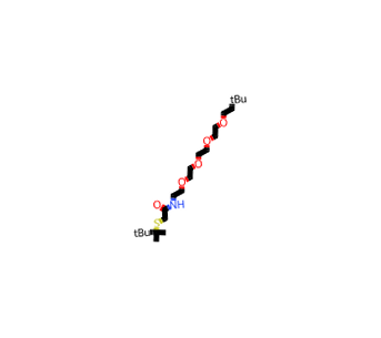 CC(C)(C)CCOCCOCCOCCOCCNC(=O)CSC(C)(C)C(C)(C)C